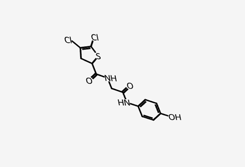 O=C(CNC(=O)C1CC(Cl)=C(Cl)S1)Nc1ccc(O)cc1